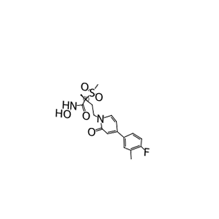 Cc1cc(-c2ccn(CC[C@](C)(C(=O)NO)S(C)(=O)=O)c(=O)c2)ccc1F